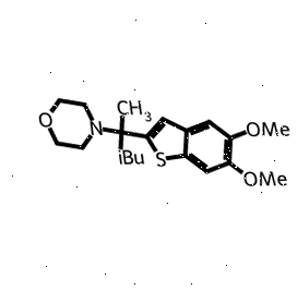 CCC(C)C(C)(c1cc2cc(OC)c(OC)cc2s1)N1CCOCC1